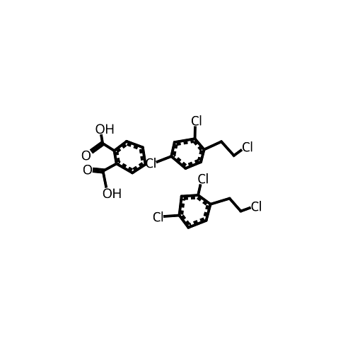 ClCCc1ccc(Cl)cc1Cl.ClCCc1ccc(Cl)cc1Cl.O=C(O)c1ccccc1C(=O)O